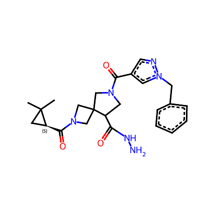 CC1(C)C[C@@H]1C(=O)N1CC2(CN(C(=O)c3cnn(Cc4ccccc4)c3)CC2C(=O)NN)C1